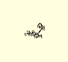 CSc1cc(C(=O)Nc2ncc(N(C)C)c(C#Cc3nnc4cccnn34)n2)cs1